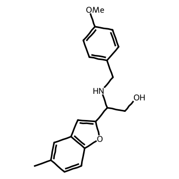 COc1ccc(CNC(CO)c2cc3cc(C)ccc3o2)cc1